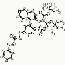 CC(C)(C)OC(=O)N(C(=O)OC(C)(C)C)N(c1ccc2cnccc2c1)C(C(=O)O)c1ccc(CCC(=O)OCc2ccccc2)cc1